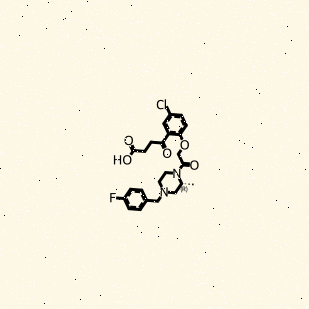 C[C@@H]1CN(Cc2ccc(F)cc2)CCN1C(=O)COc1ccc(Cl)cc1C(=O)CCC(=O)O